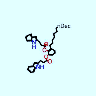 CCCCCCCCCCCCCCCCCc1cccc(OC(=O)CCc2cc3ccccc3[nH]2)c1OC(=O)CCc1cc2ccccc2[nH]1